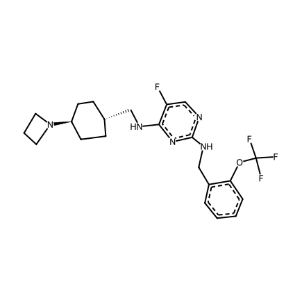 Fc1cnc(NCc2ccccc2OC(F)(F)F)nc1NC[C@H]1CC[C@H](N2CCC2)CC1